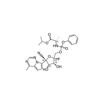 Cc1ncnn2c([C@]3(C#N)O[C@](F)(COP(=O)(N[C@@H](C)C(=O)OC(C)C)Oc4ccccc4)[C@@H](O)[C@H]3O)ccc12